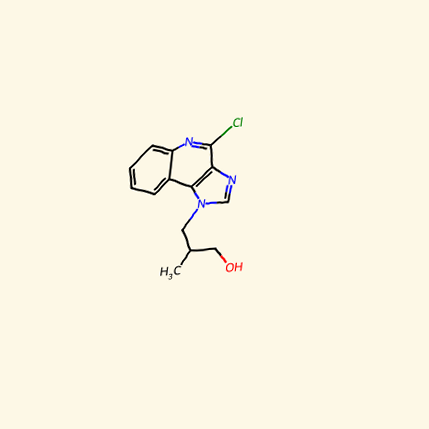 CC(CO)Cn1cnc2c(Cl)nc3ccccc3c21